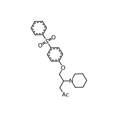 CC(=O)CC(COc1ccc(S(=O)(=O)c2ccccc2)cc1)N1CCCCC1